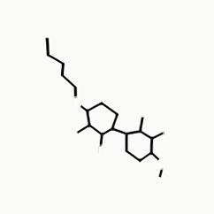 CCCCCOC1CCC(C2CCC(OC)C(F)C2F)C(F)C1F